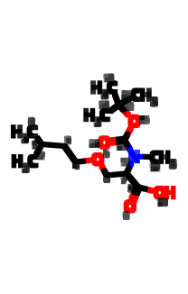 CC(C)CCOCC(C(=O)O)N(C)C(=O)OC(C)(C)C